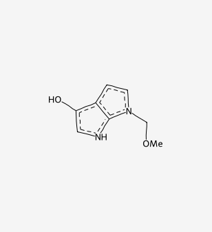 COCn1ccc2c(O)c[nH]c21